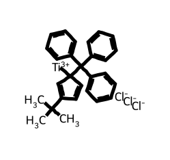 CC(C)(C)C1=C[C]([Ti+3])(C(c2ccccc2)(c2ccccc2)c2ccccc2)C=C1.[Cl-].[Cl-].[Cl-]